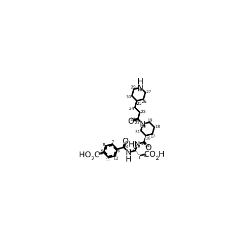 O=C(O)C[C@H](NC(=O)c1ccc(C(=O)O)cc1)NC(=O)[C@@H]1CCCN(C(=O)CCC2CCNCC2)C1